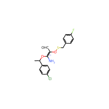 CC(O/C(N)=C(\C=O)OSCc1ccc(F)cc1)c1ccc(Cl)cc1